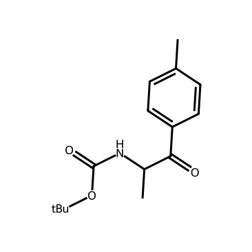 Cc1ccc(C(=O)C(C)NC(=O)OC(C)(C)C)cc1